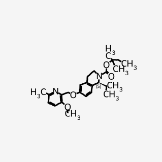 CCC(C)(C)OC(=O)N1CCc2cc(OCc3nc(C)ccc3OC)ccc2[C@@H]1C(C)C